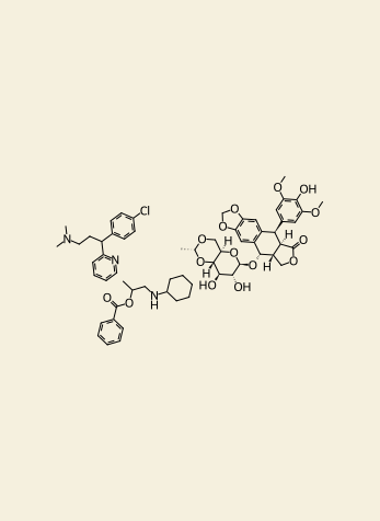 CC(CNC1CCCCC1)OC(=O)c1ccccc1.CN(C)CCC(c1ccc(Cl)cc1)c1ccccn1.COc1cc([C@@H]2c3cc4c(cc3[C@@H](O[C@@H]3O[C@@H]5CO[C@@H](C)O[C@H]5[C@H](O)[C@H]3O)[C@H]3COC(=O)[C@H]23)OCO4)cc(OC)c1O